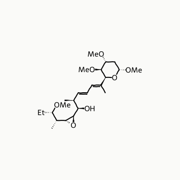 CC[C@H](OC)[C@@H](C)[C@H]1O[C@@H]1[C@H](O)[C@@H](C)/C=C/C=C(\C)[C@@H]1O[C@@H](OC)C[C@@H](OC)[C@@H]1OC